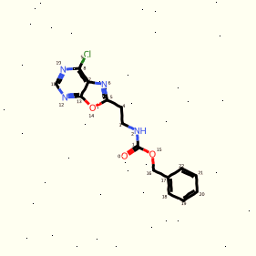 O=C(NCCc1nc2c(Cl)ncnc2o1)OCc1ccccc1